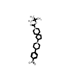 CC(C)(C)OC(=O)N1CCC2(CCC(N3CCC(c4ccc([N+](=O)[O-])cc4)CC3)C2)CC1